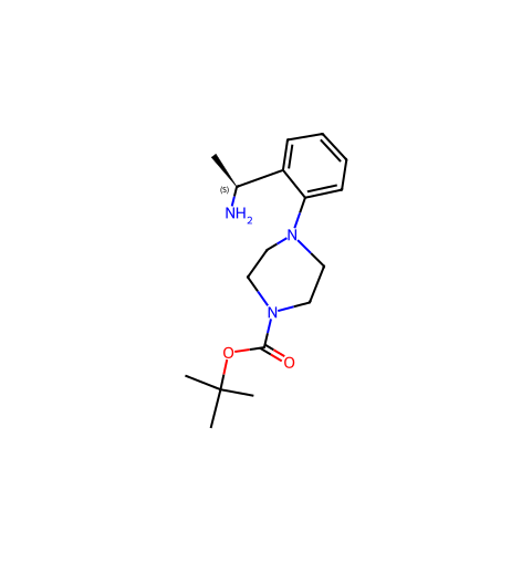 C[C@H](N)c1ccccc1N1CCN(C(=O)OC(C)(C)C)CC1